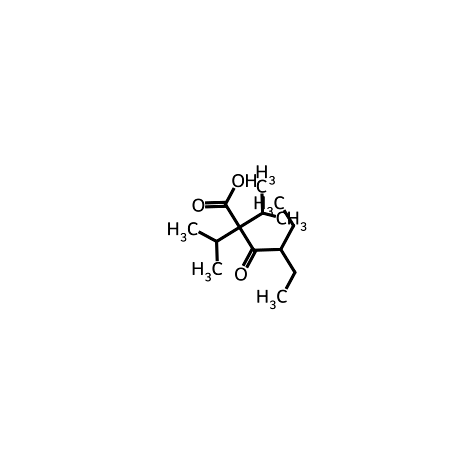 CCC(CC)C(=O)C(C(=O)O)(C(C)C)C(C)C